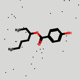 CCCCC(CC)OC(=O)c1ccc(O)cc1